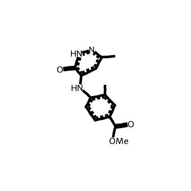 COC(=O)c1ccc(Nc2cc(C)n[nH]c2=O)c(C)c1